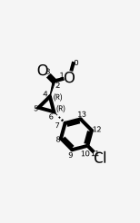 COC(=O)[C@@H]1C[C@H]1c1ccc(Cl)cc1